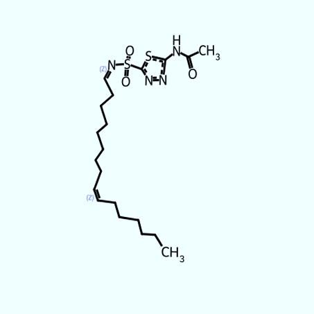 CCCCCC/C=C\CCCCCCC/C=N\S(=O)(=O)c1nnc(NC(C)=O)s1